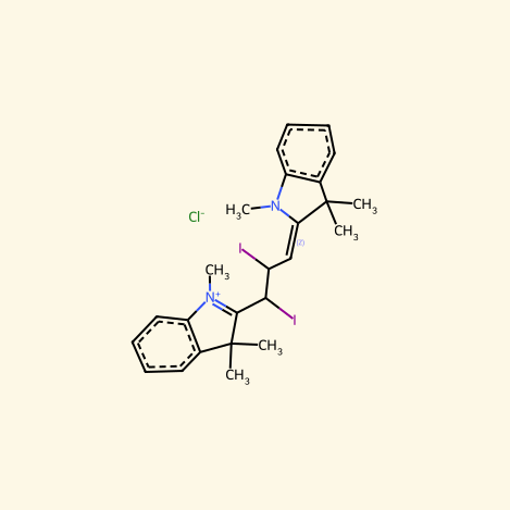 CN1/C(=C\C(I)C(I)C2=[N+](C)c3ccccc3C2(C)C)C(C)(C)c2ccccc21.[Cl-]